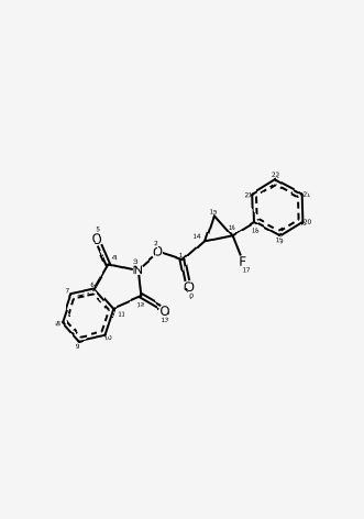 O=C(ON1C(=O)c2ccccc2C1=O)C1CC1(F)c1ccccc1